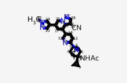 CC(=O)NC1(C2CC2)CC2CCC1CN2c1ccc(-c2cc(-c3cnn(C)c3)cn3ncc(C#N)c23)cn1